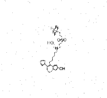 O=S(=O)(CCCN(CCO)CCCCCCC1=C(c2ccccc2)CCCc2cc(O)ccc21)CCCC(F)(F)C(F)(F)F